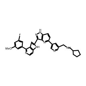 COc1cc(F)cc(-c2nccc3[nH]c(-c4n[nH]c5ccc(-c6cncc(CNCC7CCCC7)c6)nc45)cc23)c1